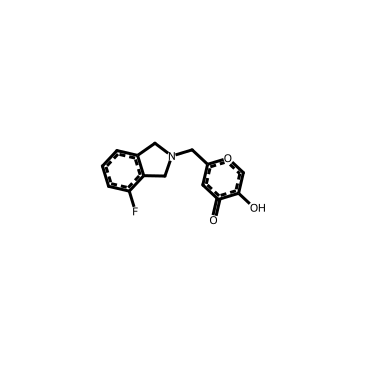 O=c1cc(CN2Cc3cccc(F)c3C2)occ1O